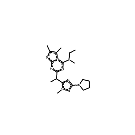 CCN(C)c1nc(C(C)c2nc(N3CCCC3)nn2C)nc2nc(C)c(C)n12